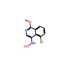 COc1ncc(NO)c2c(Br)cccc12